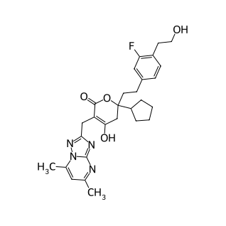 Cc1cc(C)n2nc(CC3=C(O)CC(CCc4ccc(CCO)c(F)c4)(C4CCCC4)OC3=O)nc2n1